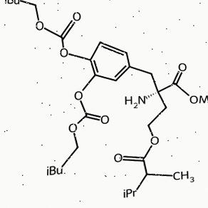 CCC(C)COC(=O)Oc1ccc(C[C@](N)(CCOC(=O)C(C)C(C)C)C(=O)OC)cc1OC(=O)OCC(C)CC